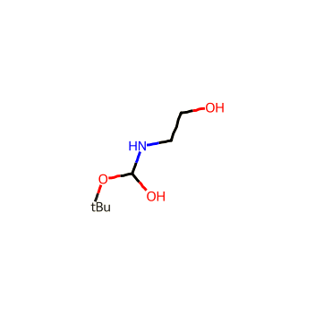 CC(C)(C)OC(O)NCCO